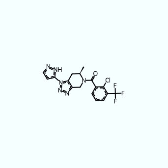 C[C@@H]1Cc2c(nnn2-c2ccn[nH]2)CN1C(=O)c1cccc(C(F)(F)F)c1Cl